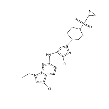 CCn1cc(Cl)c2cnc(Nc3cn(C4CCN(S(=O)(=O)C5CC5)CC4)nc3Cl)nc21